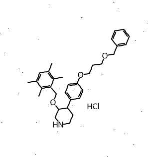 Cc1cc(C)c(C)c(COC2CNCCC2c2ccc(OCCCOCc3ccccc3)cc2)c1C.Cl